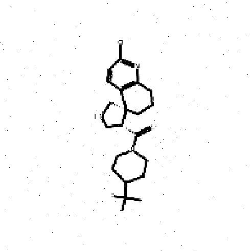 CC(F)(F)C1CCN(C(=O)[C@@H]2CNC[C@]23CCCc2nc(Cl)ccc23)CC1